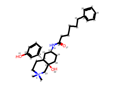 C[N+]1(C)CC[C@@]2(c3cccc(O)c3)C[C@@H](NC(=O)CCCCCc3ccccc3)CC[C@]2(O)C1